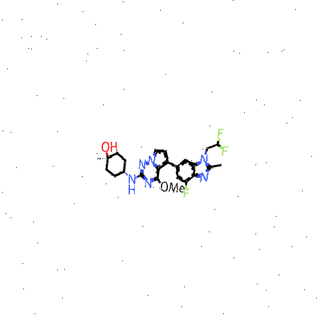 COc1nc(N[C@H]2CC[C@](C)(O)CC2)nn2ccc(-c3cc(F)c4nc(C)n(CC(F)F)c4c3)c12